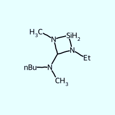 CCCCN(C)C1N(C)[SiH2]N1CC